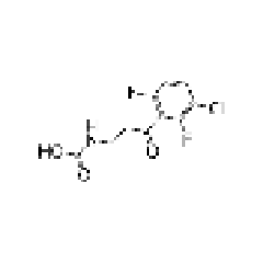 O=C(O)NCCC(=O)c1c(F)ccc(Cl)c1F